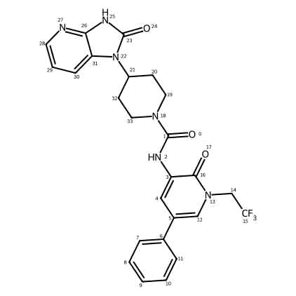 O=C(Nc1cc(-c2ccccc2)cn(CC(F)(F)F)c1=O)N1CCC(n2c(=O)[nH]c3ncccc32)CC1